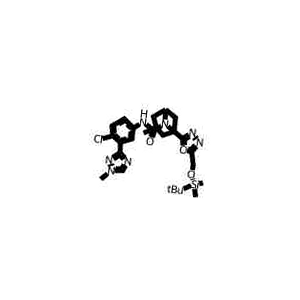 CC1CC2CC(c3nnc(CO[Si](C)(C)C(C)(C)C)o3)(C1)N2C(=O)Nc1ccc(Cl)c(-c2ncn(C)n2)c1